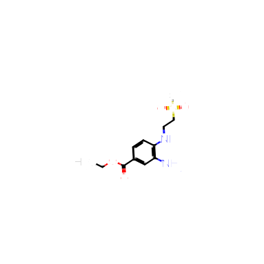 CCOC(=O)c1ccc(NCCS(C)(=O)=O)c(N)c1